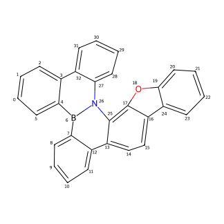 c1ccc2c(c1)B1c3ccccc3-c3ccc4c(oc5ccccc54)c3N1c1ccccc1-2